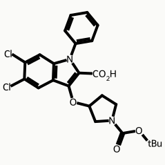 CC(C)(C)OC(=O)N1CCC(Oc2c(C(=O)O)n(-c3ccccc3)c3cc(Cl)c(Cl)cc23)C1